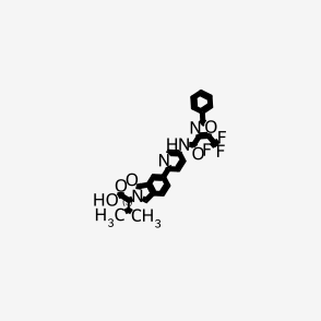 CC(C)[C@@H](C(=O)O)N1Cc2ccc(-c3ccc(NC(=O)c4nc(-c5ccccc5)oc4C(F)(F)F)cn3)cc2C1=O